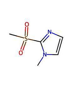 Cn1ccnc1S(C)(=O)=O